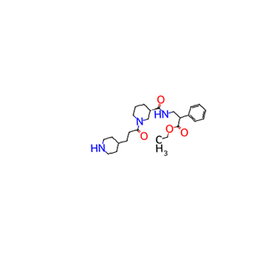 CCOC(=O)C(CNC(=O)[C@@H]1CCCN(C(=O)CCC2CCNCC2)C1)c1ccccc1